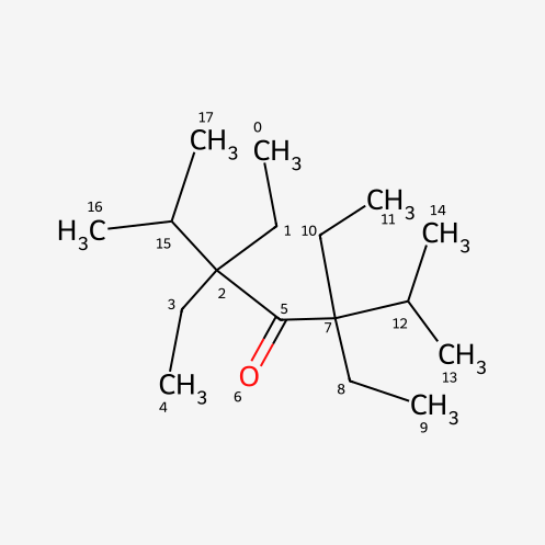 CCC(CC)(C(=O)C(CC)(CC)C(C)C)C(C)C